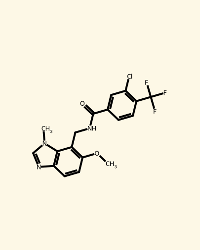 COc1ccc2ncn(C)c2c1CNC(=O)c1ccc(C(F)(F)F)c(Cl)c1